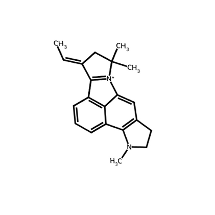 C/C=C1\CC(C)(C)[N+]2=C1c1cccc3c4c(cc2c13)CCN4C